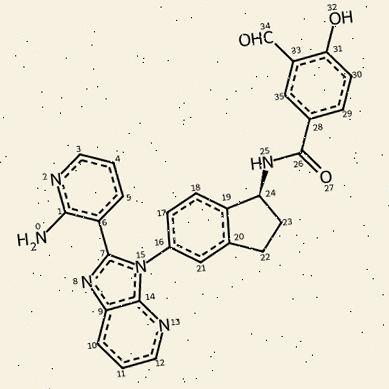 Nc1ncccc1-c1nc2cccnc2n1-c1ccc2c(c1)CC[C@@H]2NC(=O)c1ccc(O)c(C=O)c1